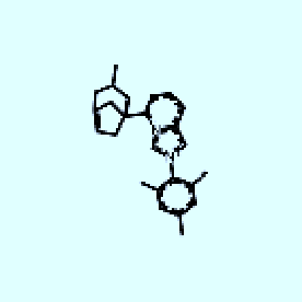 Cc1cc(C)c(-[n+]2cc3cccc(C45CC=C(CC(C)C4)C5)n3c2)c(C)c1